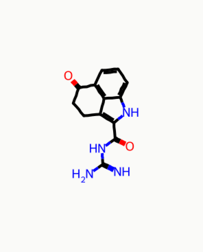 N=C(N)NC(=O)c1[nH]c2cccc3c2c1CCC3=O